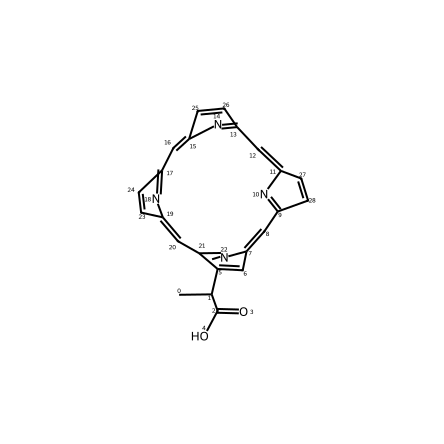 CC(C(=O)O)C1=CC2=CC3=NC(=CC4=NC(=CC5=NC(=CC1=N2)C=C5)C=C4)C=C3